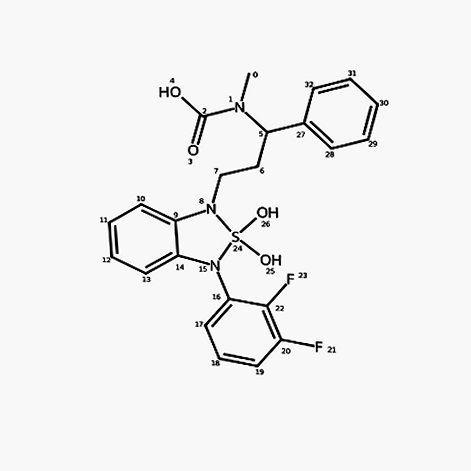 CN(C(=O)O)C(CCN1c2ccccc2N(c2cccc(F)c2F)S1(O)O)c1ccccc1